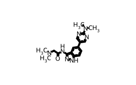 CN(C)CC(=O)Nc1n[nH]c2ccc(-c3cnc(N(C)C)nc3)cc12